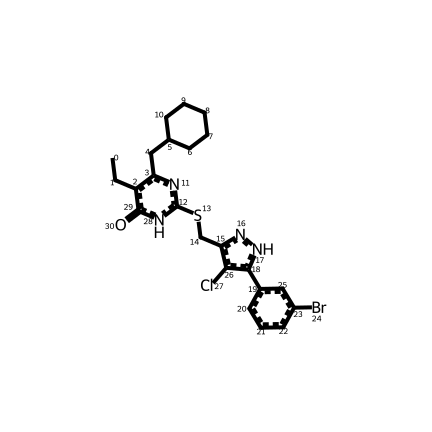 CCc1c(CC2CCCCC2)nc(SCc2n[nH]c(-c3cccc(Br)c3)c2Cl)[nH]c1=O